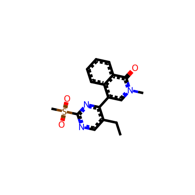 CCc1cnc(S(C)(=O)=O)nc1-c1cn(C)c(=O)c2ccccc12